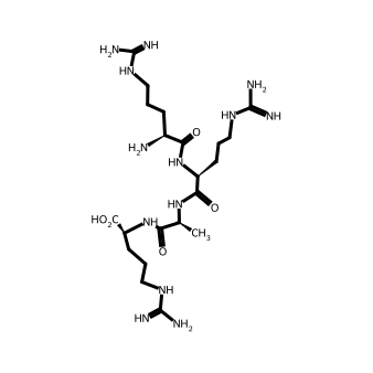 C[C@H](NC(=O)[C@H](CCCNC(=N)N)NC(=O)[C@@H](N)CCCNC(=N)N)C(=O)N[C@@H](CCCNC(=N)N)C(=O)O